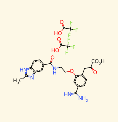 Cc1nc2cc(C(=O)NCCOc3cc(C(=N)N)ccc3CC(=O)C(=O)O)ccc2[nH]1.O=C(O)C(F)(F)F.O=C(O)C(F)(F)F